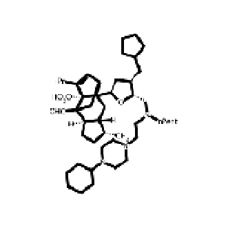 CCCCCN(CCN1CCN(C2CCCCC2)CC1)C[C@@H]1O[C@@H](C23C[C@@H]4[C@H](C)CC[C@H]4C4(C=O)CC2C=C(C(C)C)[C@]43C(=O)O)C[C@H]1CC1CCCC1